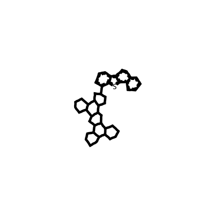 c1ccc2c(c1)ccc1c3cccc(C4CCC5C(C4)C4CCCCC4C4CC6C7CCCCC7C7CCCCC7C6CC54)c3sc21